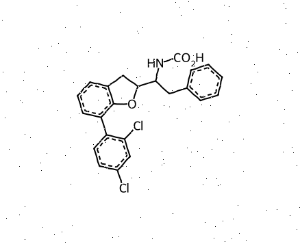 O=C(O)NC(Cc1ccccc1)C1Cc2cccc(-c3ccc(Cl)cc3Cl)c2O1